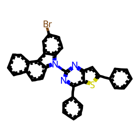 Brc1ccc2c(c1)c1c3ccccc3ccc1n2-c1nc(-c2ccccc2)c2sc(-c3ccccc3)cc2n1